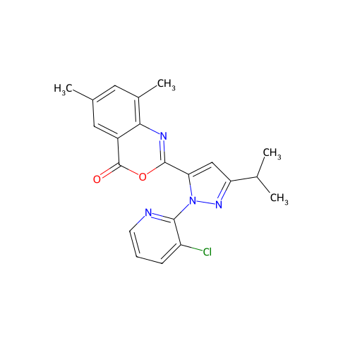 Cc1cc(C)c2nc(-c3cc(C(C)C)nn3-c3ncccc3Cl)oc(=O)c2c1